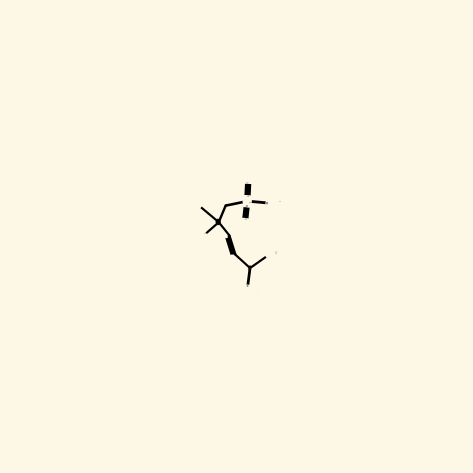 CC(=O)OS(=O)(=O)CC(C)(O)C=CC(C)O